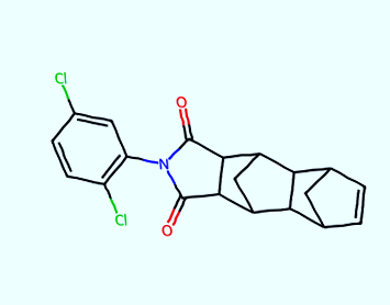 O=C1C2C3CC(C2C(=O)N1c1cc(Cl)ccc1Cl)C1C2C=CC(C2)C31